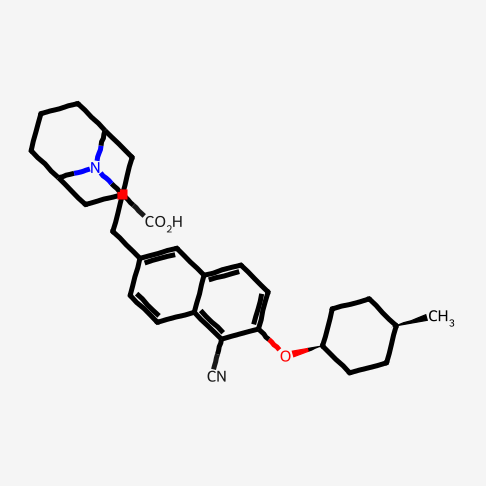 C[C@H]1CC[C@@H](Oc2ccc3cc(CCN4C5CCCC4CC(C(=O)O)C5)ccc3c2C#N)CC1